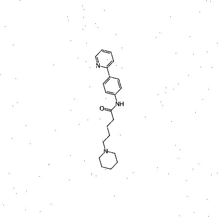 O=C(CCCCN1CCCCC1)Nc1ccc(-c2ccccn2)cc1